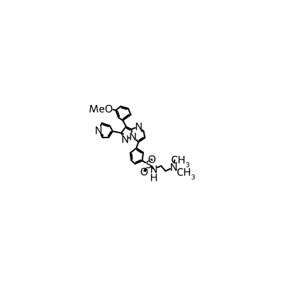 COc1cccc(-c2c(-c3ccncc3)nn3c(-c4cccc(S(=O)(=O)NCCN(C)C)c4)ccnc23)c1